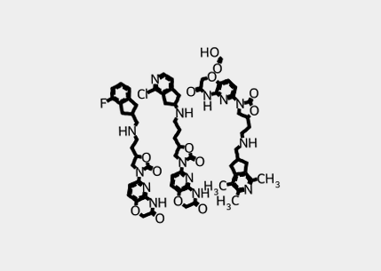 Cc1nc(C)c2c(c1C)CC(CNCCC1CN(c3ccc4c(n3)NC(=O)CO4)C(=O)O1)C2.O=C1COc2ccc(N3CC(CCCNC4Cc5ccnc(Cl)c5C4)OC3=O)nc2N1.O=C1COc2ccc(N3CC(CCNCC4Cc5cccc(F)c5C4)OC3=O)nc2N1.O=CO